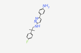 CC(C)(CNc1ccc(-c2ccc(N)cc2)nn1)c1ccc(F)cc1